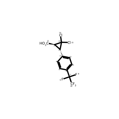 O=C(O)[C@@H]1[C@@H](c2ccc(C(F)(F)C(F)(F)F)cc2)C1(Cl)Cl